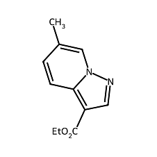 CCOC(=O)c1cnn2cc(C)ccc12